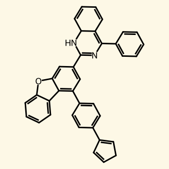 C1=CC2=C(c3ccccc3)N=C(c3cc(-c4ccc(C5=CCC=C5)cc4)c4c(c3)oc3ccccc34)NC2C=C1